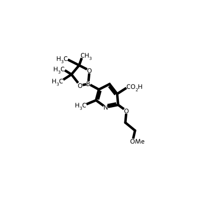 COCCOc1nc(C)c(B2OC(C)(C)C(C)(C)O2)cc1C(=O)O